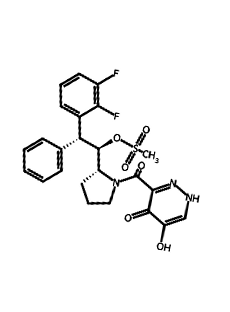 CS(=O)(=O)O[C@H]([C@H](c1ccccc1)c1cccc(F)c1F)[C@H]1CCCN1C(=O)c1n[nH]cc(O)c1=O